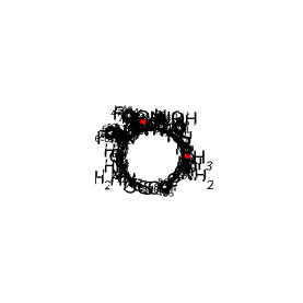 C[C@@]12CCCN1C(=O)[C@H](Cc1ccc(O)cc1)NC(=O)[C@H](Cc1cnc[nH]1)NC(=O)[C@H](CC(=O)O)NC(=O)[C@H](Cc1c[nH]c3ccc(F)cc13)NC(=O)[C@H](Cc1c[nH]c3ccc(F)cc13)NC(=O)CNC[C@@H](CN)NC(=O)CCSCc1cccc(c1)CSC[C@@H](C(N)=O)NC2=O